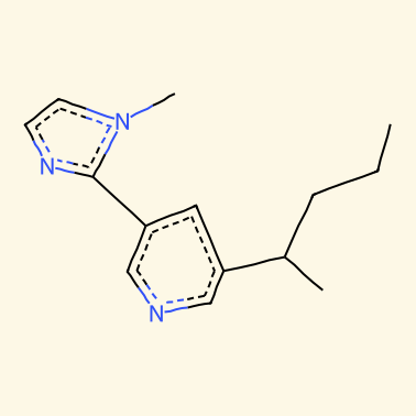 CCCC(C)c1cncc(-c2nccn2C)c1